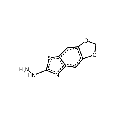 NNc1nc2cc3c(cc2s1)OCO3